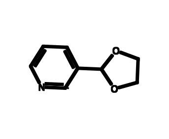 [c]1ncccc1C1OCCO1